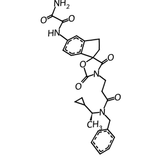 C[C@@H](C1CC1)N(Cc1ccccc1)C(=O)CCN1C(=O)OC2(CCc3cc(NC(=O)C(N)=O)ccc32)C1=O